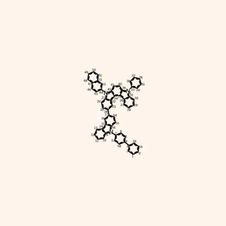 c1ccc(-c2ccc(-n3c4ccccc4c4cc(-c5ccc6c(c5)c5c7c8ccccc8n(-c8ccccc8)c7ccc5n6-c5ccc6ccccc6c5)ccc43)cc2)cc1